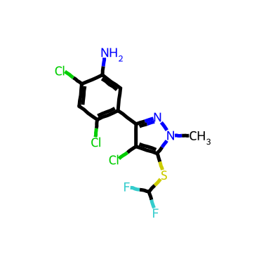 Cn1nc(-c2cc(N)c(Cl)cc2Cl)c(Cl)c1SC(F)F